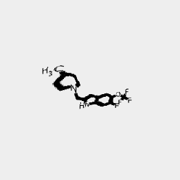 CC1CCN(Cc2cc3cc(OC(F)(F)F)c(F)cc3[nH]2)CC1